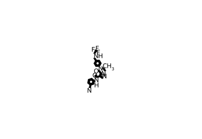 CC1Cn2ncc(C(=O)Nc3cccc(C#N)c3)c2C(=O)N1c1ccc(CNCC(F)(F)F)cc1